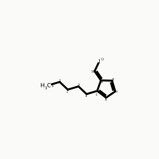 CCCCCC1=CC=CC1=CI